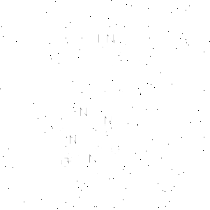 Cn1c(=O)c2c(nc(/C=C/c3cccc(N)c3)n2C)n(C)c1=O